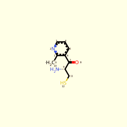 [CH2]c1ncccc1C(=O)[C@@H](N)CS